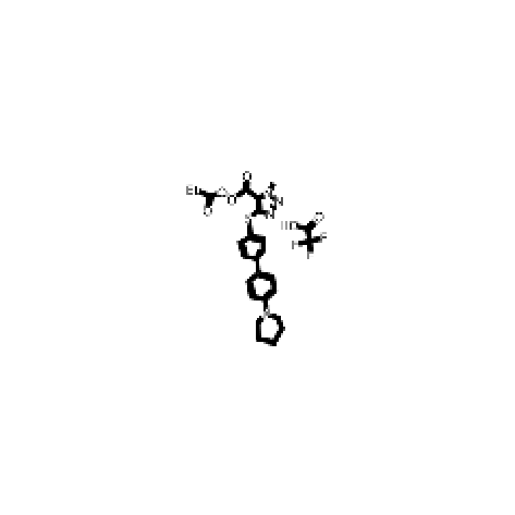 CCC(=O)OOC(=O)c1c(Sc2ccc(-c3ccc(N4CCCCC4)cc3)cc2)nnn1C.O=C(O)C(F)(F)F